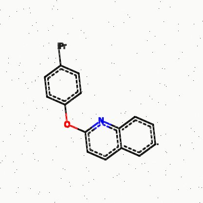 CC(C)c1ccc(Oc2ccc3c[c]ccc3n2)cc1